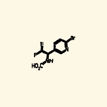 O=C(O)NC(c1ccc(Br)nc1)C(F)F